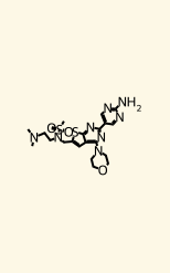 CN(C)CCN(Cc1cc2c(N3CCOCC3)nc(-c3cnc(N)nc3)nc2s1)S(C)(=O)=O